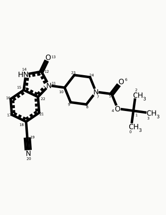 CC(C)(C)OC(=O)N1CCC(n2c(=O)[nH]c3ccc(C#N)cc32)CC1